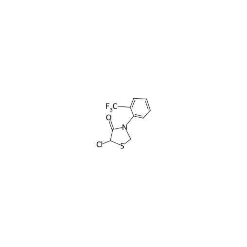 O=C1C(Cl)SCN1c1ccccc1C(F)(F)F